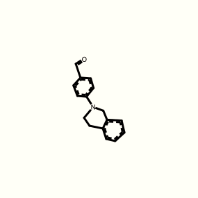 O=Cc1ccc(N2CCc3ccccc3C2)cc1